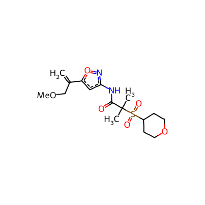 C=C(COC)c1cc(NC(=O)C(C)(C)S(=O)(=O)C2CCOCC2)no1